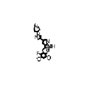 COc1cc(OC)c(F)c(Cc2n[nH]c3ncc(-c4cnn(C5CCN(C)CC5)c4)cc23)c1F